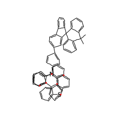 CC1(C)c2ccccc2C2(c3ccccc3-c3ccc(-c4ccc(N(c5ccccc5-c5ccccc5-c5ccccc5-c5ccccc5)c5cccc6sc7ccccc7c56)cc4)cc32)c2ccccc21